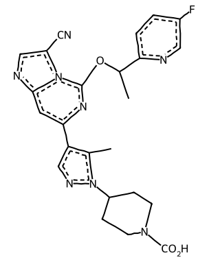 Cc1c(-c2cc3ncc(C#N)n3c(OC(C)c3ccc(F)cn3)n2)cnn1C1CCN(C(=O)O)CC1